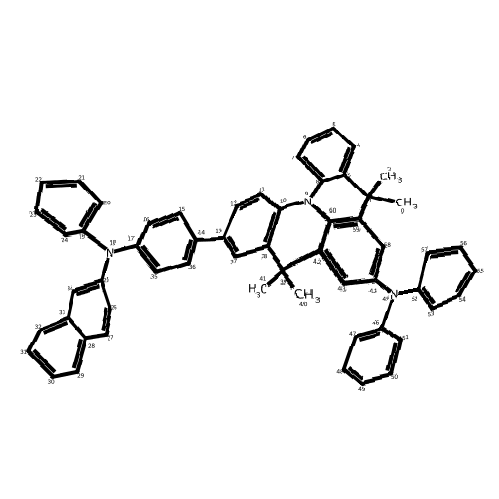 CC1(C)c2ccccc2N2c3ccc(-c4ccc(N(c5ccccc5)c5ccc6ccccc6c5)cc4)cc3C(C)(C)c3cc(N(c4ccccc4)c4ccccc4)cc1c32